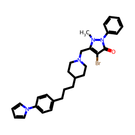 Cn1c(CN2CCC(CCCc3ccc(-n4cccc4)cc3)CC2)c(Br)c(=O)n1-c1ccccc1